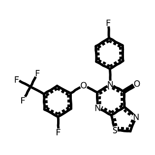 O=c1c2ncsc2nc(Oc2cc(F)cc(C(F)(F)F)c2)n1-c1ccc(F)cc1